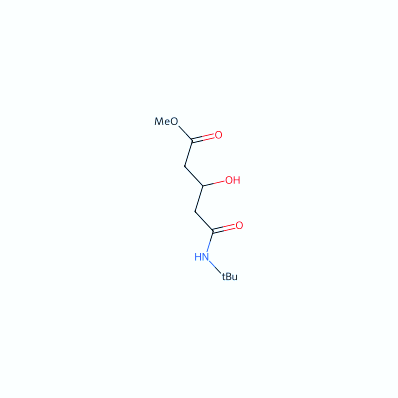 COC(=O)CC(O)CC(=O)NC(C)(C)C